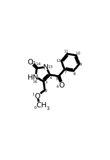 COCC1=C(C(=O)c2ccccc2)[N]C(=O)N1